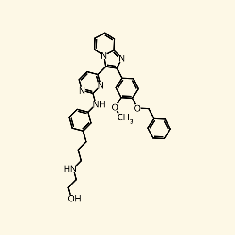 COc1cc(-c2nc3ccccn3c2-c2ccnc(Nc3cccc(CCCNCCO)c3)n2)ccc1OCc1ccccc1